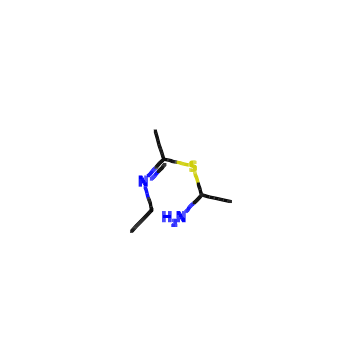 CC/N=C(/C)SC(C)N